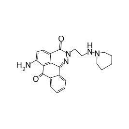 Nc1ccc2c(=O)n(CCNN3CCCCC3)nc3c2c1C(=O)c1ccccc1-3